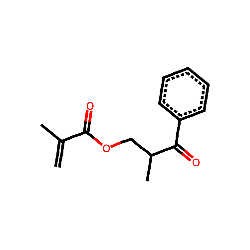 C=C(C)C(=O)OCC(C)C(=O)c1ccccc1